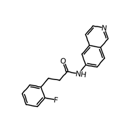 O=C(CCc1ccccc1F)Nc1ccc2cnccc2c1